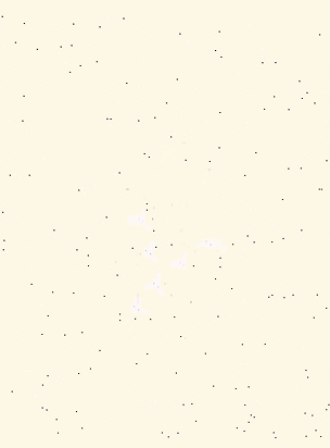 CCc1nc2ccccc2n1-c1nc(N)c(F)c(Nc2ccc(OC(F)F)cc2)n1